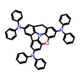 c1ccc(N(c2ccccc2)c2cc3c4c(c2)Oc2cc(N(c5ccccc5)c5ccccc5)cc5c6cc(N(c7ccccc7)c7ccccc7)cc(c6n-4c25)C3)cc1